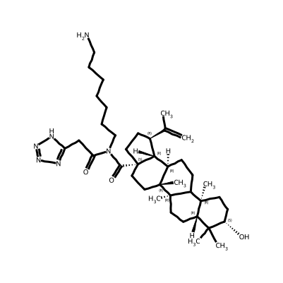 C=C(C)[C@@H]1CC[C@]2(C(=O)N(CCCCCCCN)C(=O)Cc3nnn[nH]3)CC[C@]3(C)[C@H](CCC4[C@@]5(C)CC[C@H](O)C(C)(C)[C@@H]5CC[C@]43C)[C@@H]12